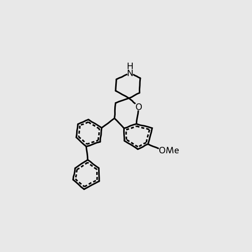 COc1ccc2c(c1)OC1(CCNCC1)CC2c1cccc(-c2ccccc2)c1